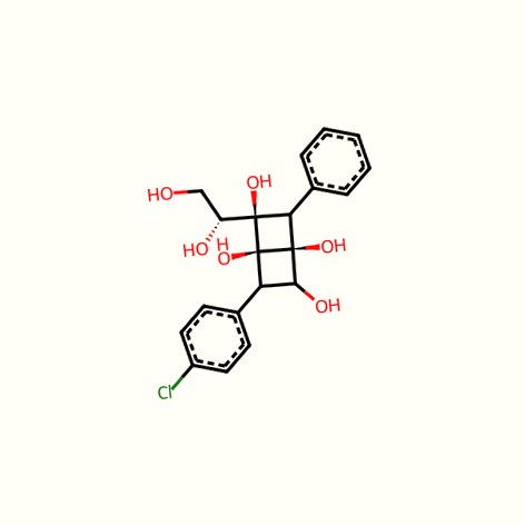 OC[C@@H](O)[C@]1(O)C(c2ccccc2)[C@]2(O)C(O)C(c3ccc(Cl)cc3)[C@@]21O